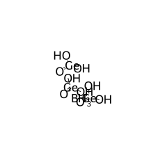 B.[O]=[Ge]([OH])[OH].[O]=[Ge]([OH])[OH].[O]=[Ge]([OH])[OH]